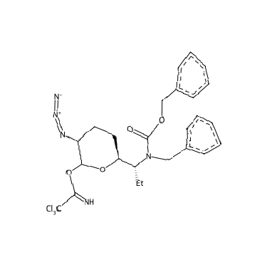 CC[C@H]([C@@H]1CCC(N=[N+]=[N-])C(OC(=N)C(Cl)(Cl)Cl)O1)N(Cc1ccccc1)C(=O)OCc1ccccc1